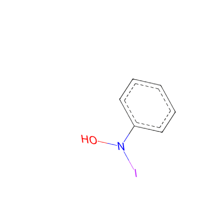 ON(I)c1ccccc1